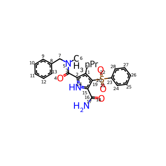 CCCc1c(C(=O)N(C)Cc2ccccc2)[nH]c(C(N)=O)c1S(=O)(=O)c1ccccc1